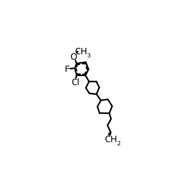 C=CCCC1CCC(C2CCC(c3ccc(OC)c(F)c3Cl)CC2)CC1